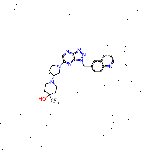 OC1(C(F)(F)F)CCN([C@@H]2CCN(c3cnc4nnn(Cc5ccc6ncccc6c5)c4n3)C2)CC1